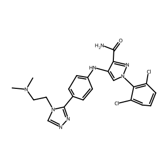 CN(C)CCn1cnnc1-c1ccc(Nc2cn(-c3c(Cl)cccc3Cl)nc2C(N)=O)cc1